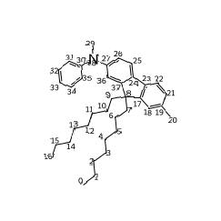 CCCCCCCCC1(CCCCCCCC)c2cc(C)ccc2-c2ccc(N(C)c3ccccc3)cc21